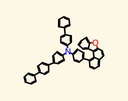 c1ccc(-c2ccc(-c3ccc(N(c4ccc(-c5ccccc5)cc4)c4ccc(-c5cccc6ccc7oc8ccccc8c7c56)cc4)cc3)cc2)cc1